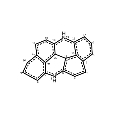 c1cc2ccc3[nH]c4cccc5ccc6[nH]c(c1)c2c3-c6c54